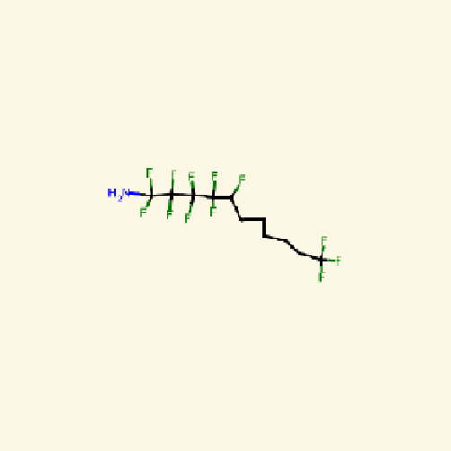 NC(F)(F)C(F)(F)C(F)(F)C(F)(F)C(F)CCCCCC(F)(F)F